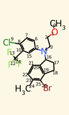 COCCN(c1ccc(Cl)c(C(F)(F)F)c1)C1CCc2c1ccc(C)c2Br